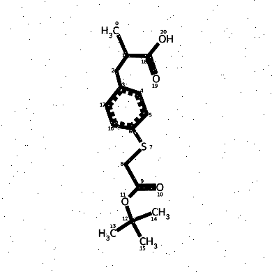 CC(Cc1ccc(SCC(=O)OC(C)(C)C)cc1)C(=O)O